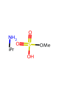 CC(C)N.COS(=O)(=O)O